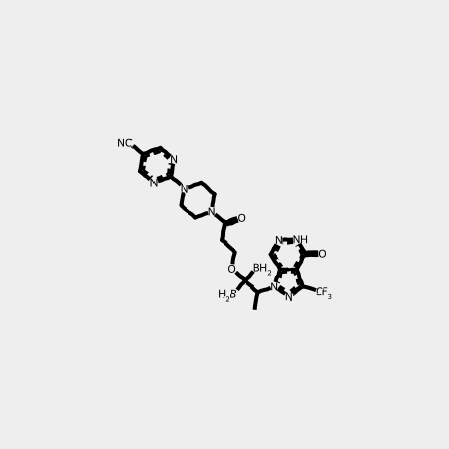 BC(B)(OCCC(=O)N1CCN(c2ncc(C#N)cn2)CC1)C(C)n1nc(C(F)(F)F)c2c(=O)[nH]ncc21